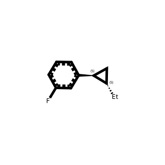 CC[C@H]1C[C@@H]1c1cccc(F)c1